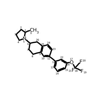 CC1CCCN1C1CCc2cc(-c3cccc(OC(F)(F)F)c3)ccc2C1